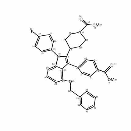 COC(=O)c1ccc(-c2c(C3CCN(C(=O)OC)CC3)n(-c3ccc(F)cc3)c3cccc(OCc4ccccc4)c23)cc1